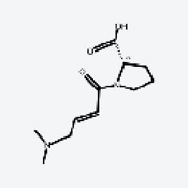 CN(C)CC=CC(=O)N1CCC[C@H]1C(=O)O